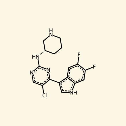 Fc1cc2[nH]cc(-c3nc(N[C@H]4CCCNC4)ncc3Cl)c2cc1F